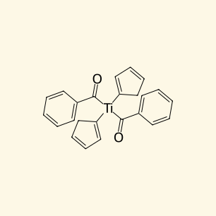 O=[C](c1ccccc1)[Ti]([C](=O)c1ccccc1)([C]1=CC=CC1)[C]1=CC=CC1